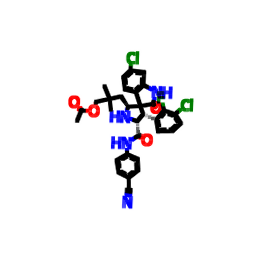 CC(=O)OCC(C)(C)C[C@@H]1N[C@@H](C(=O)Nc2ccc(C#N)cc2)[C@@H](c2cccc(Cl)c2F)C12C(=O)Nc1cc(Cl)ccc12